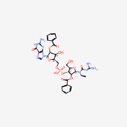 C=CN(C(=O)N=C(N)N)[C@@H]1O[C@H](CO)[C@H](OP(=O)(O)OC[C@H]2O[C@@H](n3cnc4c(=O)[nH]c(N)nc43)C(OC(=O)c3ccccc3)[C@H]2O)C1OC(=O)c1ccccc1